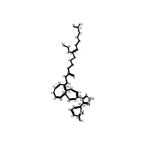 C=C(CCCC/C(=C/CCCCC(C)C)CCC)CCC1=C2\C=C=C(c3c[nH]nc3-c3cccc(C)n3)C=CC2=C=CC/C=C\1